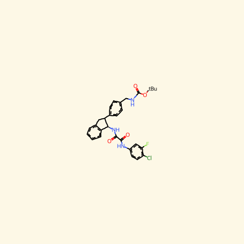 CC(C)(C)OC(=O)NCc1ccc(C2Cc3ccccc3[C@@H]2NC(=O)C(=O)Nc2ccc(Cl)c(F)c2)cc1